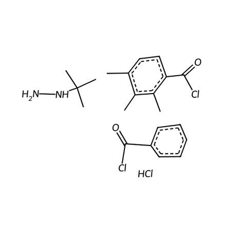 CC(C)(C)NN.Cc1ccc(C(=O)Cl)c(C)c1C.Cl.O=C(Cl)c1ccccc1